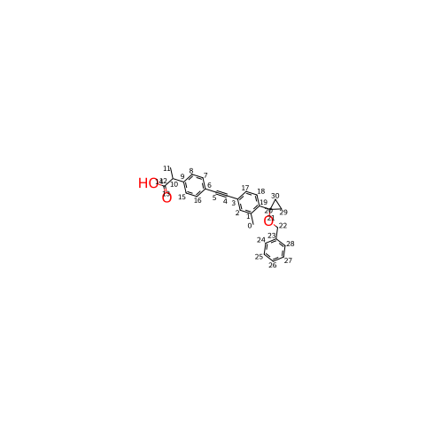 Cc1cc(C#Cc2ccc(C(C)C(=O)O)cc2)ccc1C1(OCc2ccccc2)CC1